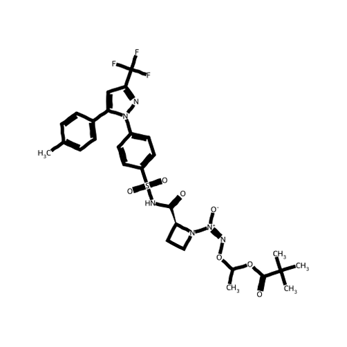 Cc1ccc(-c2cc(C(F)(F)F)nn2-c2ccc(S(=O)(=O)NC(=O)[C@@H]3CCN3/[N+]([O-])=N\OC(C)OC(=O)C(C)(C)C)cc2)cc1